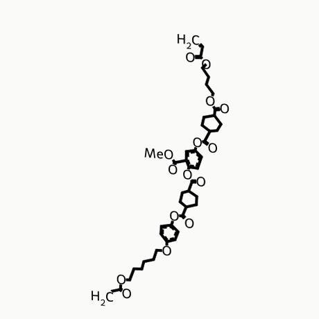 C=CC(=O)OCCCCCCOc1ccc(OC(=O)C2CCC(C(=O)Oc3ccc(OC(=O)C4CCC(C(=O)OCCCCOC(=O)C=C)CC4)cc3C(=O)OC)CC2)cc1